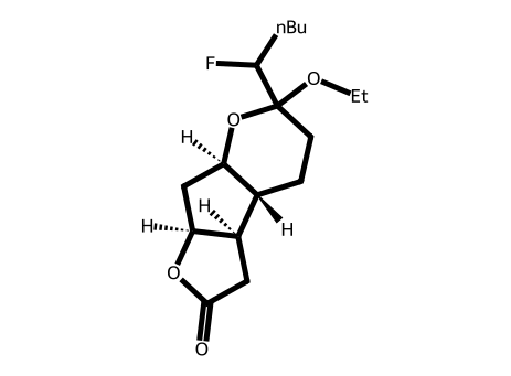 CCCCC(F)C1(OCC)CC[C@@H]2[C@H]3CC(=O)O[C@H]3C[C@H]2O1